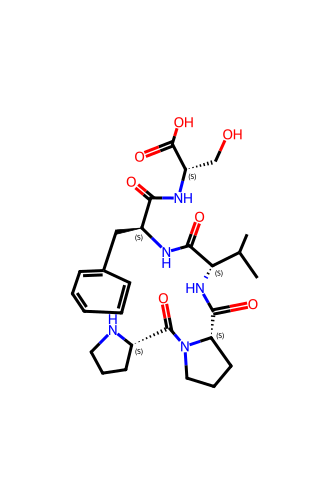 CC(C)[C@H](NC(=O)[C@@H]1CCCN1C(=O)[C@@H]1CCCN1)C(=O)N[C@@H](Cc1ccccc1)C(=O)N[C@@H](CO)C(=O)O